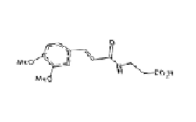 COc1ccc(C=CC(=O)NCCC(=O)O)cc1OC